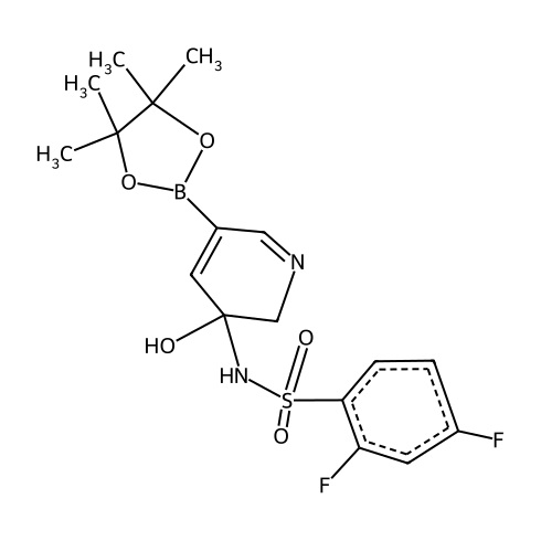 CC1(C)OB(C2=CC(O)(NS(=O)(=O)c3ccc(F)cc3F)CN=C2)OC1(C)C